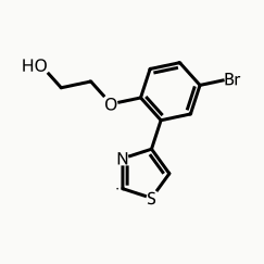 OCCOc1ccc(Br)cc1-c1cs[c]n1